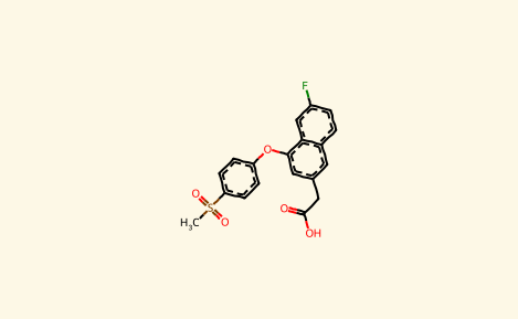 CS(=O)(=O)c1ccc(Oc2cc(CC(=O)O)cc3ccc(F)cc23)cc1